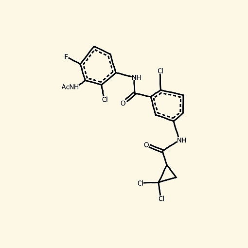 CC(=O)Nc1c(F)ccc(NC(=O)c2cc(NC(=O)C3CC3(Cl)Cl)ccc2Cl)c1Cl